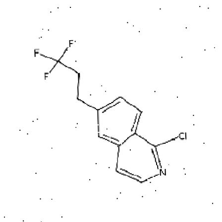 FC(F)(F)CCc1ccc2c(Cl)nccc2c1